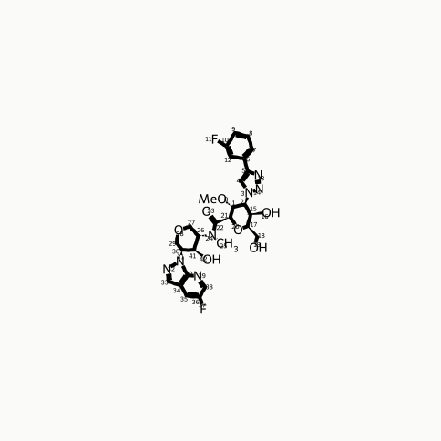 CO[C@@H]1[C@@H](n2cc(-c3cccc(F)c3)nn2)[C@@H](O)[C@@H](CO)O[C@H]1C(=O)N(C)[C@H]1COC[C@@H](n2ncc3cc(F)cnc32)[C@@H]1O